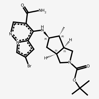 C[C@@H]1[C@H]2CN(C(=O)OC(C)(C)C)C[C@H]2C[C@H]1Nc1c(C(N)=O)cnn2cc(Br)cc12